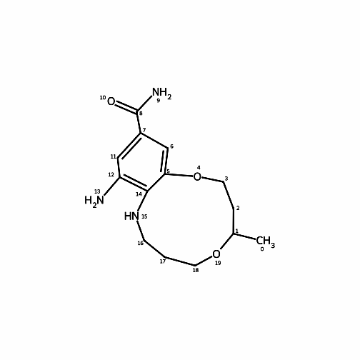 CC1CCOc2cc(C(N)=O)cc(N)c2NCCCO1